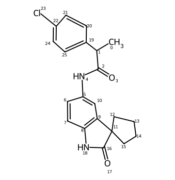 CC(C(=O)Nc1ccc2c(c1)C1(CCCC1)C(=O)N2)c1ccc(Cl)cc1